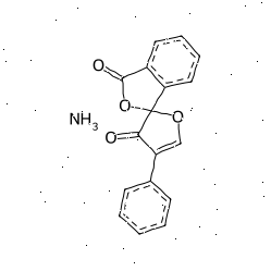 N.O=C1OC2(OC=C(c3ccccc3)C2=O)c2ccccc21